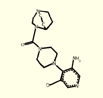 Nc1cncc(Cl)c1N1CCN(C(=O)N2CCN3CCC2CC3)CC1